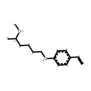 C=Cc1ccc(OCCCCC(C)OC)cc1